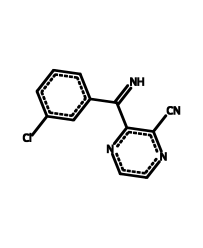 N#Cc1nccnc1C(=N)c1cccc(Cl)c1